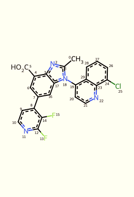 Cc1nc2c(C(=O)O)cc(-c3ccnc(F)c3F)cc2n1-c1ccnc2c(Cl)cccc12